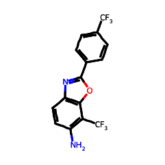 Nc1ccc2nc(-c3ccc(C(F)(F)F)cc3)oc2c1C(F)(F)F